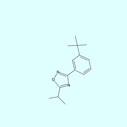 CC(C)c1nc(-c2cccc(C(C)(C)C)c2)no1